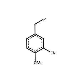 COc1ccc(CC(C)C)cc1C#N